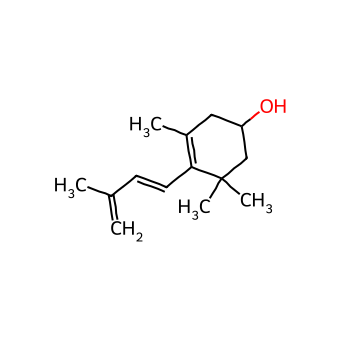 C=C(C)/C=C/C1=C(C)CC(O)CC1(C)C